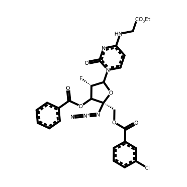 CCOC(=O)CNc1ccn(C2O[C@@](COC(=O)c3cccc(Cl)c3)(N=[N+]=[N-])C(OC(=O)c3ccccc3)[C@@H]2F)c(=O)n1